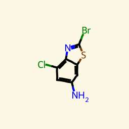 Nc1cc(Cl)c2nc(Br)sc2c1